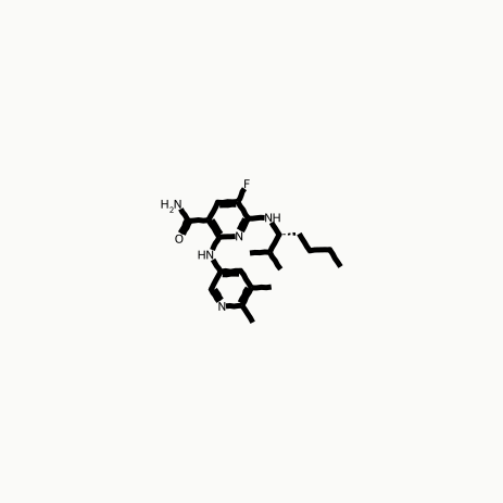 CCCC[C@@H](Nc1nc(Nc2cnc(C)c(C)c2)c(C(N)=O)cc1F)C(C)C